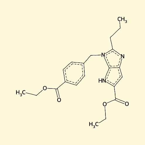 CCCc1nc2cc(C(=O)OCC)[nH]c2n1Cc1ccc(C(=O)OCC)cc1